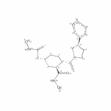 CNC(=O)O[C@@H]1CC[C@H](C(=O)N2CC[C@H](c3ccccc3)C2)[C@@H](C(=O)NO)C1